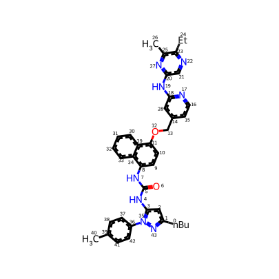 CCCCc1cc(NC(=O)Nc2ccc(OCc3ccnc(Nc4cnc(CC)c(C)n4)c3)c3ccccc23)n(-c2ccc(C)cc2)n1